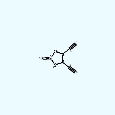 C#CC1OS(=S)SC1C#C